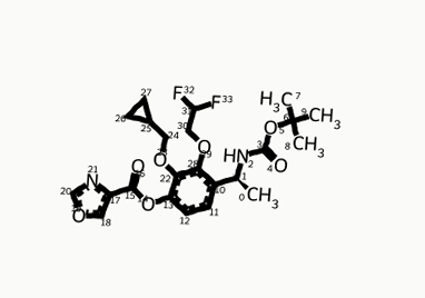 C[C@H](NC(=O)OC(C)(C)C)c1ccc(OC(=O)c2cocn2)c(OCC2CC2)c1OCC(F)F